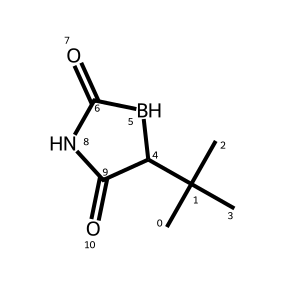 CC(C)(C)C1BC(=O)NC1=O